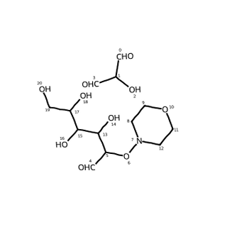 O=CC(O)C=O.O=CC(ON1CCOCC1)C(O)C(O)C(O)CO